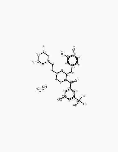 C[C@@H]1CN(CCN2CCN(C(=O)c3cc(Cl)cc(C(F)(F)F)c3)[C@H](Cc3ccc(Cl)c(O)c3)C2)C[C@H](C)O1.Cl.Cl